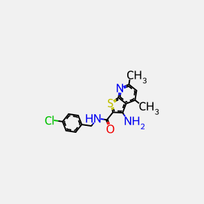 Cc1cc(C)c2c(N)c(C(=O)NCc3ccc(Cl)cc3)sc2n1